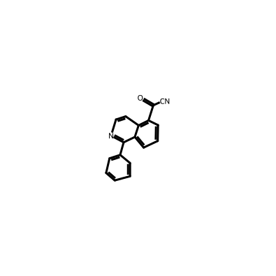 N#CC(=O)c1cccc2c(-c3ccccc3)nccc12